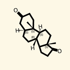 C[C@]12CCC(=O)C[C@@H]1CC[C@H]1C3CCC(=O)[C@@]3(C)CC[C@@H]12